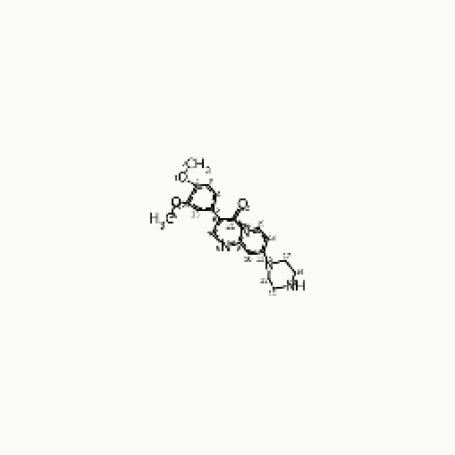 COc1ccc(-c2cnc3cc(N4CCNCC4)ccn3c2=O)cc1OC